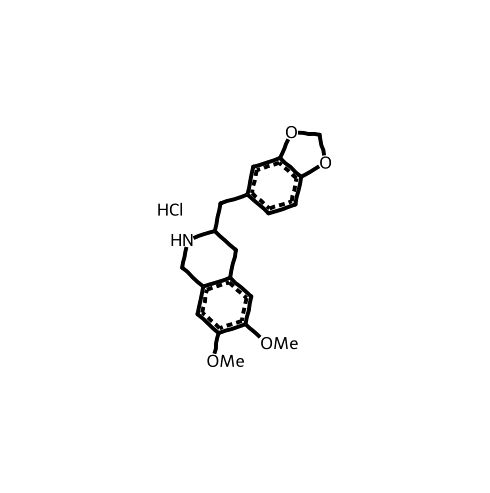 COc1cc2c(cc1OC)CC(Cc1ccc3c(c1)OCO3)NC2.Cl